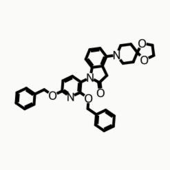 O=C1Cc2c(N3CCC4(CC3)OCCO4)cccc2N1c1ccc(OCc2ccccc2)nc1OCc1ccccc1